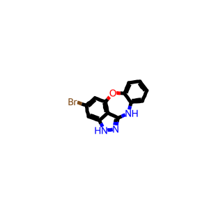 Brc1cc2c3c(n[nH]c3c1)Nc1ccccc1O2